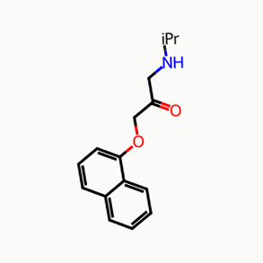 CC(C)NCC(=O)COc1cccc2ccccc12